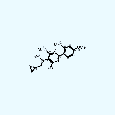 CCCN(CC1CC1)c1c(CC)nc(-c2ccc(OC)cc2OC)nc1OC